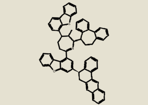 CC1C(c2cccc3c2sc2ccccc23)CCC(c2cc([C@@H]3Cc4cc5ccccc5cc4-c4ccccc43)cc3oc4ccccc4c23)=NC1C1CCc2ccccc2-c2ccccc21